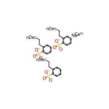 CCCCCCCCCCCCc1ccccc1S(=O)(=O)[O-].CCCCCCCCCCCCc1ccccc1S(=O)(=O)[O-].CCCCCCCCCCCCc1ccccc1S(=O)(=O)[O-].[Ca+2].[Na+]